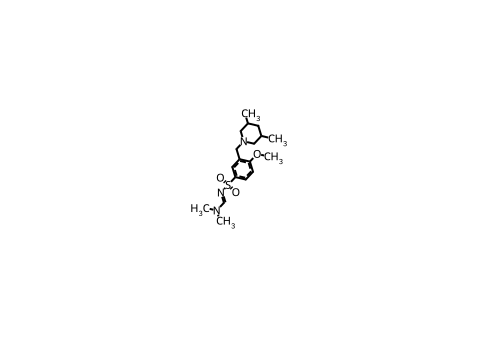 COc1ccc(S(=O)(=O)N=CN(C)C)cc1CN1CC(C)CC(C)C1